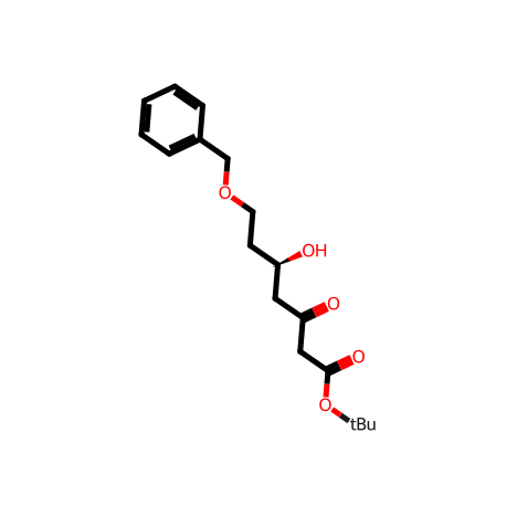 CC(C)(C)OC(=O)CC(=O)C[C@H](O)CCOCc1ccccc1